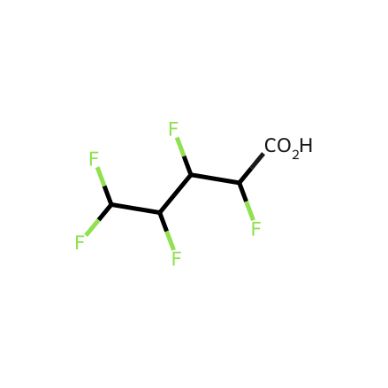 O=C(O)C(F)C(F)C(F)C(F)F